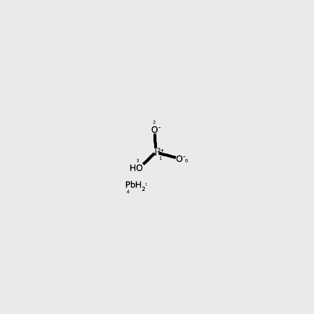 [O-][I+2]([O-])O.[PbH2]